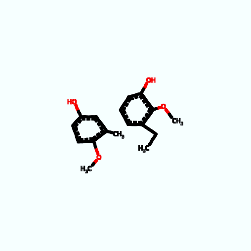 CCc1cccc(O)c1OC.COc1ccc(O)cc1C